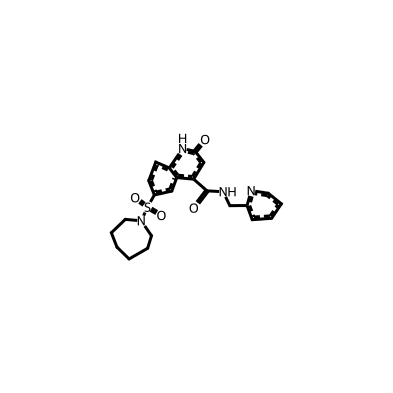 O=C(NCc1ccccn1)c1cc(=O)[nH]c2ccc(S(=O)(=O)N3CCCCCC3)cc12